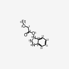 CCOCC(=O)On1nnc2ccccc21